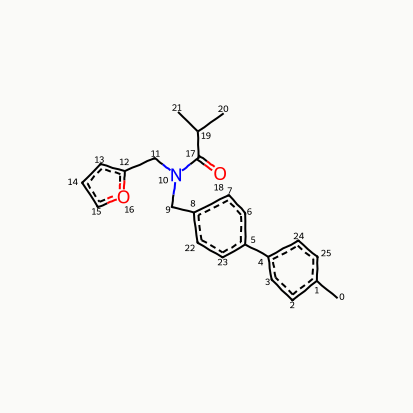 Cc1ccc(-c2ccc(CN(Cc3ccco3)C(=O)C(C)C)cc2)cc1